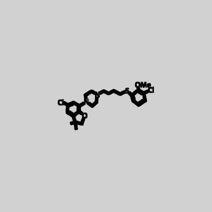 COc1c(Cl)cccc1SCCCCN1CCN(c2cc(Cl)cc3c2OCC3(C)C)CC1